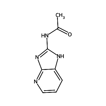 CC(=O)Nc1nc2ncccc2[nH]1